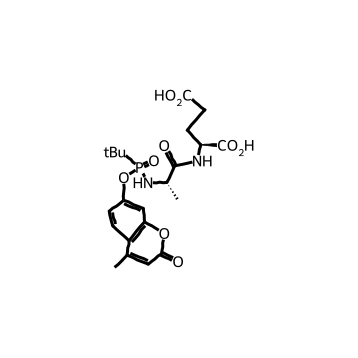 Cc1cc(=O)oc2cc(OP(=O)(N[C@@H](C)C(=O)N[C@@H](CCC(=O)O)C(=O)O)C(C)(C)C)ccc12